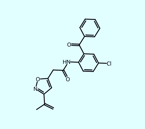 C=C(C)c1cc(CC(=O)Nc2ccc(Cl)cc2C(=O)c2ccccc2)on1